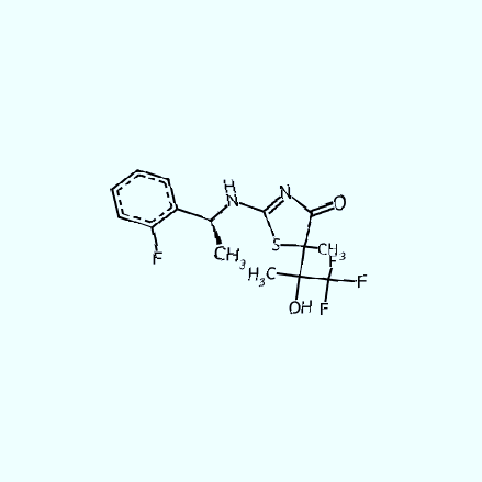 C[C@H](NC1=NC(=O)C(C)(C(C)(O)C(F)(F)F)S1)c1ccccc1F